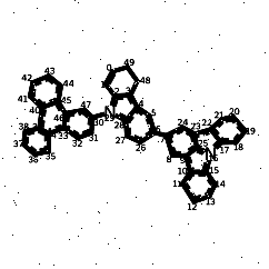 C1=Cc2c(c3cc(-c4cc5c6ccccc6n6c7ccccc7c(c4)c56)ccc3n2-c2ccc3c4ccccc4c4ccccc4c3c2)CC1